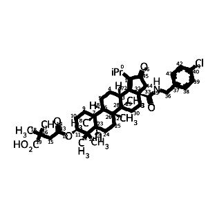 CC(C)C1=C2[C@H]3CC[C@@H]4[C@@]5(C)CC[C@H](OC(=O)CC(C)(C)C(=O)O)C(C)(C)[C@@H]5CC[C@@]4(C)[C@]3(C)CC[C@@]2(C(=O)NCc2ccc(Cl)cc2)CC1=O